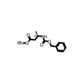 C[C@H](CC(=O)OC(C)(C)C)NC(=O)OCc1ccccc1